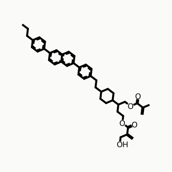 C=C(C)C(=O)OCC(CCOC(=O)C(=C)CO)C1CCC(CCc2ccc(-c3ccc4cc(-c5ccc(CCC)cc5)ccc4c3)cc2)CC1